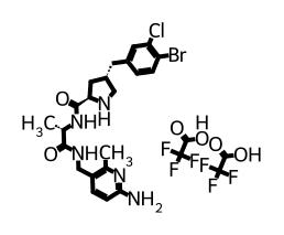 Cc1nc(N)ccc1CNC(=O)[C@H](C)NC(=O)[C@H]1C[C@H](Cc2ccc(Br)c(Cl)c2)CN1.O=C(O)C(F)(F)F.O=C(O)C(F)(F)F